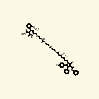 CCOC(=O)C1=C(COCCNC(=O)OCCSSCCOC(=O)C[C@H](O)C[C@H](O)CCN2C(C(C)C)=C(C(=O)Nc3ccccc3)C(c3ccccc3)C2c2ccc(F)cc2)NC(C)=C(C(=O)OC)C1c1ccccc1Cl